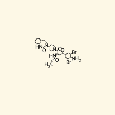 C=CC(=O)N[C@H](CC(=O)c1cc(Br)c(N)c(Br)c1)C(=O)N1CCC(N2CCc3ccccc3NC2=O)CC1